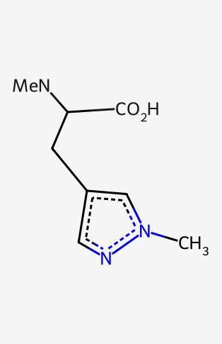 CNC(Cc1cnn(C)c1)C(=O)O